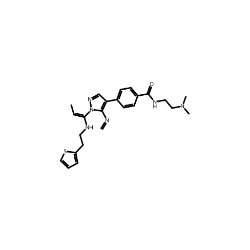 C=Nc1c(-c2ccc(C(=O)NCCN(C)C)cc2)cnn1/C(=C\C)NCCc1cccs1